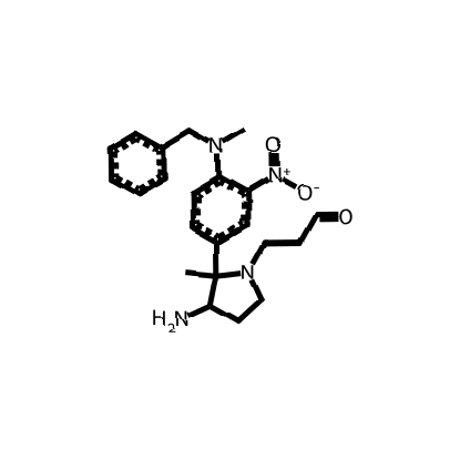 CN(Cc1ccccc1)c1ccc(C2(C)C(N)CCN2CCC=O)cc1[N+](=O)[O-]